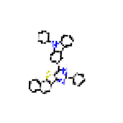 c1ccc(-c2nc(-c3ccc4c(c3)c3ccccc3n4-c3ccccc3)c3sc4c5ccccc5ccc4c3n2)cc1